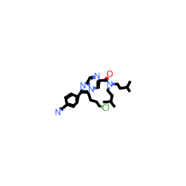 CC(C)CCN(CCC(C)C)C(=O)c1cn2c(CCCCl)c(-c3ccc(C#N)cc3)nc2cn1